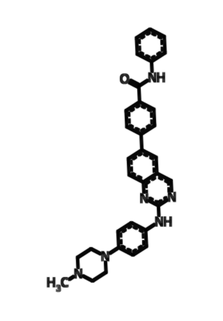 CN1CCN(c2ccc(Nc3ncc4cc(-c5ccc(C(=O)Nc6ccccc6)cc5)ccc4n3)cc2)CC1